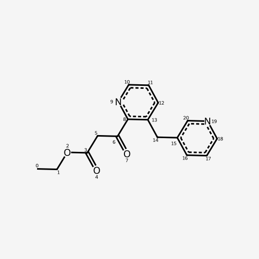 CCOC(=O)CC(=O)c1ncccc1Cc1cccnc1